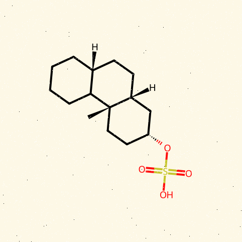 C[C@]12CC[C@@H](OS(=O)(=O)O)C[C@H]1CC[C@H]1CCCCC12